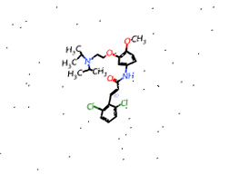 COc1ccc(NC(=O)/C=C/c2c(Cl)cccc2Cl)cc1OCCN(C(C)C)C(C)C